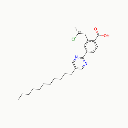 CCCCCCCCCCCc1cnc(-c2ccc(C(=O)O)c(C[C@@H](C)Cl)c2)nc1